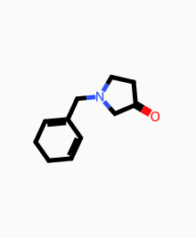 O=C1CCN(CC2=CCCC=C2)C1